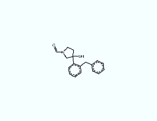 O=CN1CCC(O)(c2ccccc2Cc2ccccc2)C1